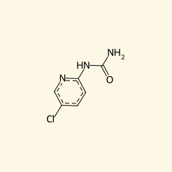 NC(=O)Nc1ccc(Cl)cn1